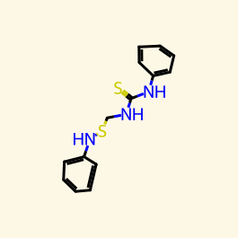 S=C(NCSNc1ccccc1)Nc1ccccc1